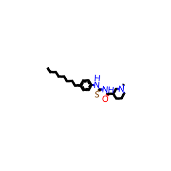 CCCCCCCCc1ccc(NC(=S)NC(=O)C2CCCN(C)C2)cc1